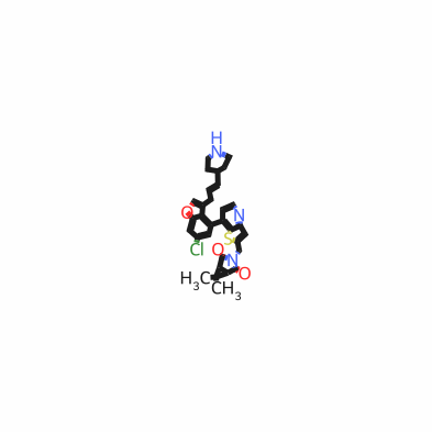 CC1(C)C2C(=O)N(Cc3cc4nccc(-c5cc(Cl)cc6occ(CC=CC7CCNCC7)c56)c4s3)C(=O)C21